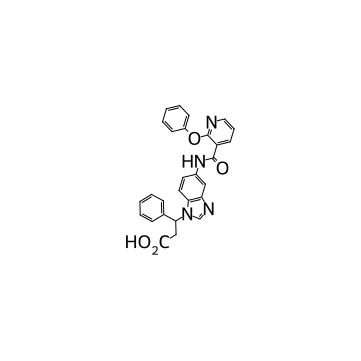 O=C(O)CC(c1ccccc1)n1cnc2cc(NC(=O)c3cccnc3Oc3ccccc3)ccc21